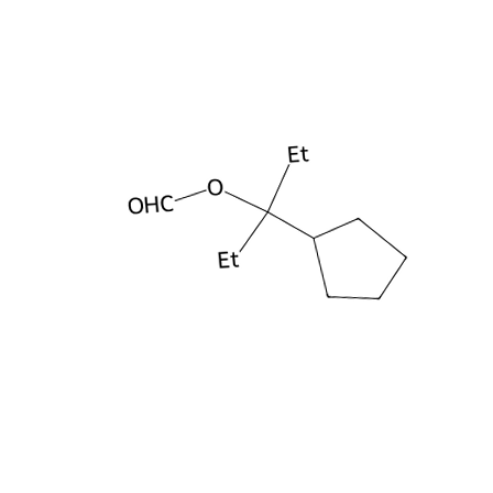 CCC(CC)(OC=O)C1CCCC1